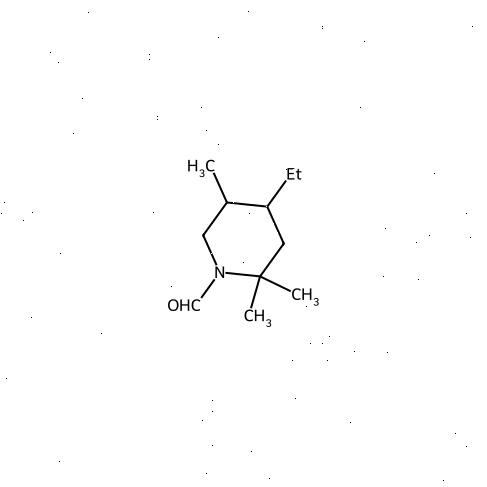 CCC1CC(C)(C)N(C=O)CC1C